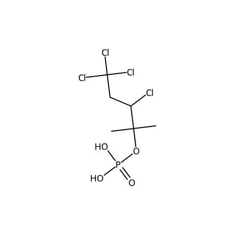 CC(C)(OP(=O)(O)O)C(Cl)CC(Cl)(Cl)Cl